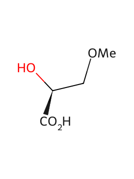 COC[C@H](O)C(=O)O